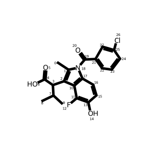 Cc1c(C(C(=O)O)C(C)C)c2c(F)c(O)ccc2n1C(=O)c1cccc(Cl)c1